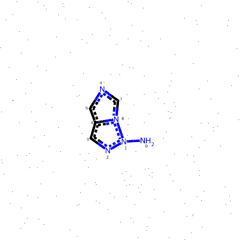 Nn1ncc2cncn21